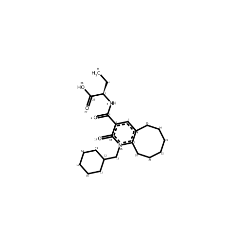 CC[C@@H](NC(=O)c1cc2c(n(CC3CCCCC3)c1=O)CCCCCC2)C(=O)O